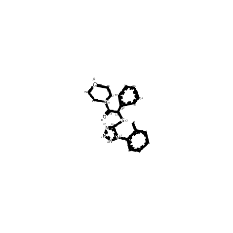 Cc1ccccc1-n1nnnc1SC(C(=O)N1CCOCC1)c1ccccc1